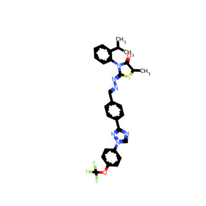 CC1S/C(=N\N=C\c2ccc(-c3ncn(-c4ccc(OC(F)(F)F)cc4)n3)cc2)N(c2ccccc2C(C)C)C1=O